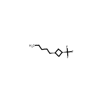 CCCCC[C@H]1C[C@@H](C(F)(F)F)C1